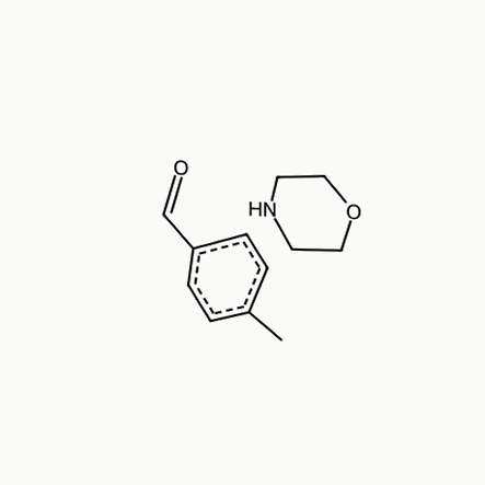 C1COCCN1.Cc1ccc(C=O)cc1